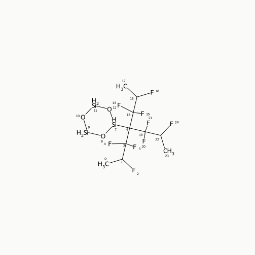 CC(F)C(F)(F)C([SiH]1O[SiH2]O[SiH2]O1)(C(F)(F)C(C)F)C(F)(F)C(C)F